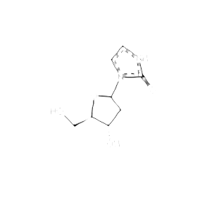 O=c1[nH]ccn1C1C[C@H](O)[C@@H](CO)O1